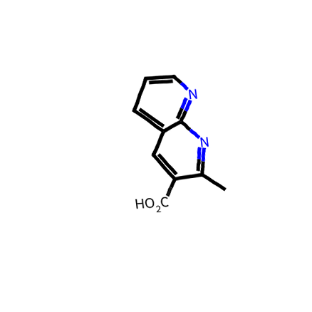 Cc1nc2ncccc2cc1C(=O)O